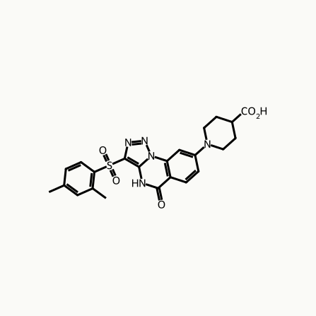 Cc1ccc(S(=O)(=O)c2nnn3c2[nH]c(=O)c2ccc(N4CCC(C(=O)O)CC4)cc23)c(C)c1